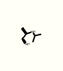 C=C(C=N)NC(C)C